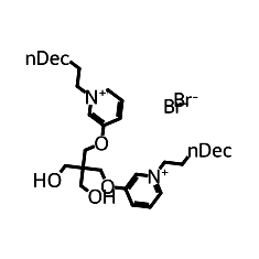 CCCCCCCCCCCC[n+]1cccc(OCC(CO)(CO)COc2ccc[n+](CCCCCCCCCCCC)c2)c1.[Br-].[Br-]